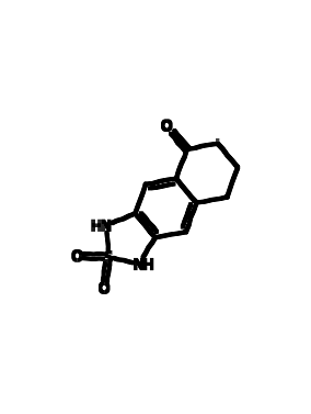 O=C1[CH]CCc2cc3c(cc21)NS(=O)(=O)N3